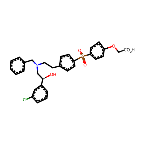 O=C(O)COc1ccc(S(=O)(=O)c2ccc(CCN(Cc3ccccc3)C[C@@H](O)c3cccc(Cl)c3)cc2)cc1